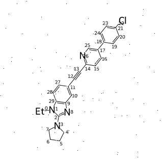 CCn1c(N2CCCC2)nc2cc(C#Cc3ccc(-c4ccc(Cl)cc4)cn3)ccc21